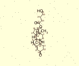 C[C@]12CC[C@H]3[C@@H](CCC4=CC(=O)CC[C@@]43C)[C@@H]1CC[C@@H]2OC(=O)CCCO